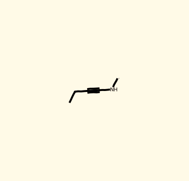 [CH2]NC#CCC